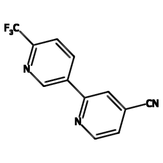 N#Cc1ccnc(-c2ccc(C(F)(F)F)nc2)c1